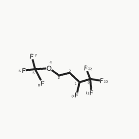 FC(CCOC(F)(F)F)C(F)(F)F